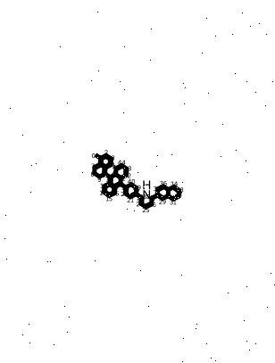 Cc1cccc2c1=CCCC=2C1=c2ccccc2=C(C2=CC=C(C3=CC=CC(C4=CC5C=CC=CC5C=C4)N3)CC2)C2C=CC=CC12